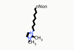 CCCCCCCCCCCCCCCCCN1C=CN(C)C1C